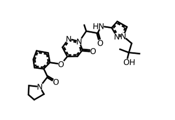 CC(C(=O)Nc1ccn(CC(C)(C)O)n1)n1ncc(Oc2ccccc2C(=O)N2CCCC2)cc1=O